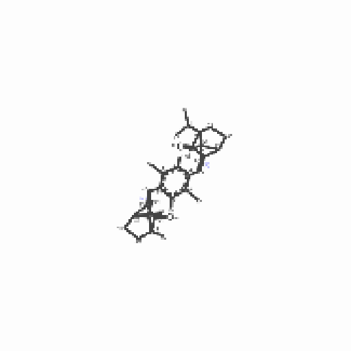 Cc1c(C)c(/C=C2\C(=O)C3(C(C)C)CCC2C3(C)C)c(C)c(C)c1/C=C1\C(=O)C2(C)CCC1C2(C)C